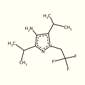 CC(C)c1nn(CC(F)(F)F)c(C(C)C)c1N